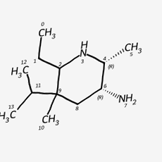 CCC1N[C@H](C)[C@H](N)CC1(C)C(C)C